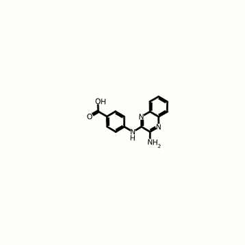 Nc1nc2ccccc2nc1Nc1ccc(C(=O)O)cc1